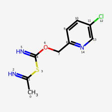 CC(=N)SC(=N)OCc1ccc(Cl)cn1